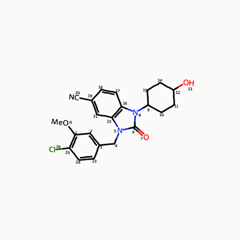 COc1cc(Cn2c(=O)n(C3CCC(O)CC3)c3ccc(C#N)cc32)ccc1Cl